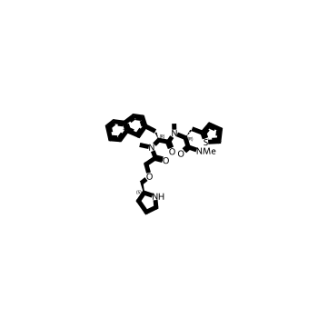 CNC(=O)[C@@H](Cc1cccs1)N(C)C(=O)[C@@H](Cc1ccc2ccccc2c1)N(C)C(=O)COC[C@@H]1CCCN1